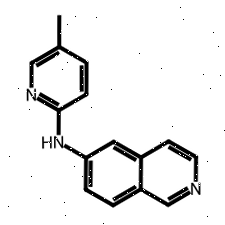 Cc1ccc(Nc2ccc3cnccc3c2)nc1